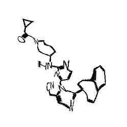 N#CCc1cnc(-c2ccc3ccccc3c2)n1-c1ccnc(NC2CCCN(C(=O)C3CC3)C2)n1